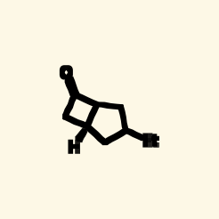 CCC1CC2C(=O)C[C@H]2C1